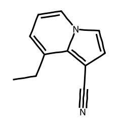 CCc1cccn2ccc(C#N)c12